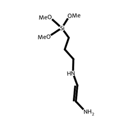 CO[Si](CCCNC=CN)(OC)OC